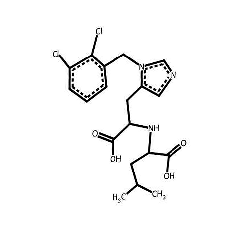 CC(C)CC(NC(Cc1cncn1Cc1cccc(Cl)c1Cl)C(=O)O)C(=O)O